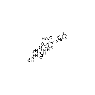 CON=C(C(=O)NC1C(=O)N2C(C(=O)O)=C(CSc3ccc4nnnn4n3)CS[C@@H]12)c1nccc(NC=O)n1